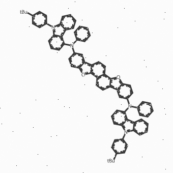 CC(C)(C)c1ccc(-n2c3ccccc3c3c(N(c4ccccc4)c4ccc5oc6c(ccc7c6ccc6c8cc(N(c9ccccc9)c9cccc%10c9c9ccccc9n%10-c9ccc(C(C)(C)C)cc9)ccc8oc67)c5c4)cccc32)cc1